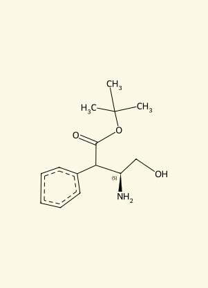 CC(C)(C)OC(=O)C(c1ccccc1)[C@H](N)CO